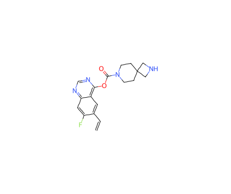 C=Cc1cc2c(OC(=O)N3CCC4(CC3)CNC4)ncnc2cc1F